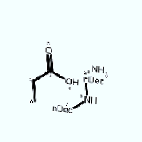 CCC(=O)O.CCCCCCCCCCNCCCCCCCCCC.N